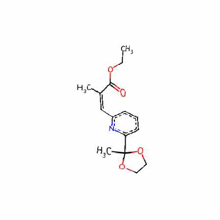 CCOC(=O)C(C)=Cc1cccc(C2(C)OCCO2)n1